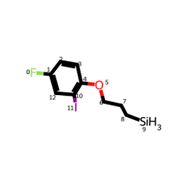 Fc1ccc(OCCC[SiH3])c(I)c1